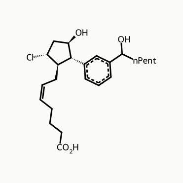 CCCCCC(O)c1cccc([C@@H]2[C@@H](C/C=C\CCCC(=O)O)[C@H](Cl)C[C@H]2O)c1